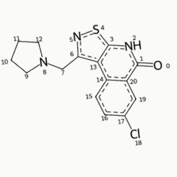 O=c1[nH]c2snc(CN3CCCC3)c2c2ccc(Cl)cc12